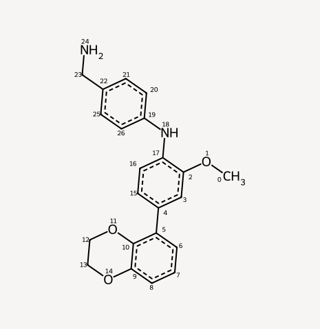 COc1cc(-c2cccc3c2OCCO3)ccc1Nc1ccc(CN)cc1